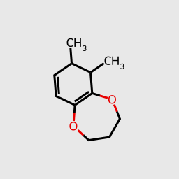 CC1C=CC2=C(OCCCO2)C1C